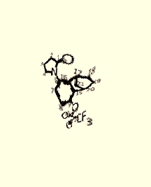 O=C1CCCN1c1ccc(OS(=O)(=O)C(F)(F)F)c2c1C1CCC2C1